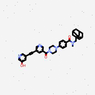 CN(CC12CC3CC(CC(C3)C1)C2)C(=O)c1ccc(N2CCN(C(=O)c3cncc(C#Cc4cncc(O)c4)c3)CC2)cc1